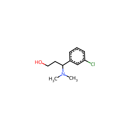 CN(C)C(CCO)c1cccc(Cl)c1